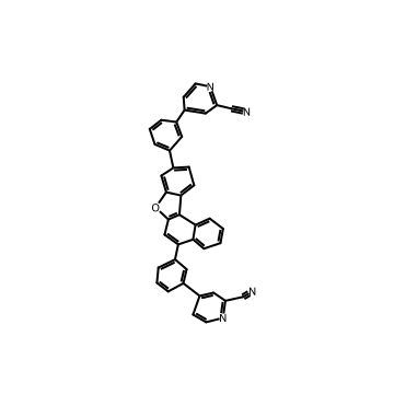 N#Cc1cc(-c2cccc(-c3ccc4c(c3)oc3cc(-c5cccc(-c6ccnc(C#N)c6)c5)c5ccccc5c34)c2)ccn1